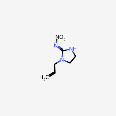 C=CCN1CCNC1=N[N+](=O)[O-]